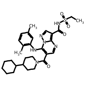 CCS(=O)(=O)NC(=O)c1cnn2c(Nc3cc(C)ccc3C)c(C(=O)N3CCC(C4CCCCC4)CC3)cnc12